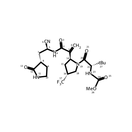 C=C(C(=O)N[C@H](C#N)C[C@@H]1CCNC1=O)[C@@H]1C[C@@H](C(F)(F)F)CN1C(=O)[C@@H](NC(=O)OC)C(C)(C)C